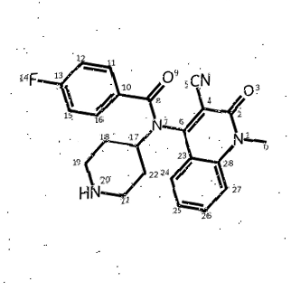 Cn1c(=O)c(C#N)c(N(C(=O)c2ccc(F)cc2)C2CCNCC2)c2ccccc21